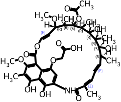 COc1c(C)c(O)c2c(O)c3cc(OCC(=O)O)c2c1C(=O)O/C=C/[C@H](OC)[C@@H](C)[C@@H](OC(C)=O)[C@H](C)[C@H](O)[C@H](C)[C@@H](O)[C@@H](C)/C=C/C=C(/C)C(=O)N3